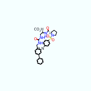 O=C(NCc1ccc(-c2ccccc2)cc1)NC[C@H](NC(=O)[C@@H]1CCCN1S(=O)(=O)c1ccc([N+](=O)[O-])cc1)C(=O)O